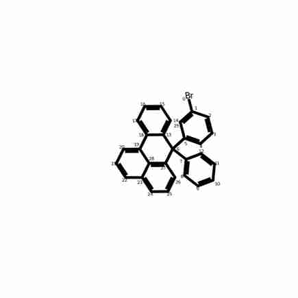 Brc1cccc(C2(c3ccccc3)c3ccccc3-c3cccc4cccc2c34)c1